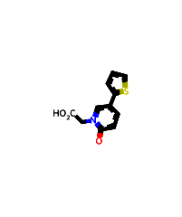 O=C(O)Cn1cc(-c2cccs2)ccc1=O